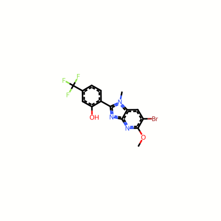 COc1nc2nc(-c3ccc(C(F)(F)F)cc3O)n(C)c2cc1Br